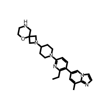 CCc1nc(N2CCC(N3CC4(CNCCO4)C3)CC2)ccc1-c1cc(C)c2nccn2c1